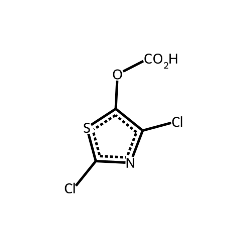 O=C(O)Oc1sc(Cl)nc1Cl